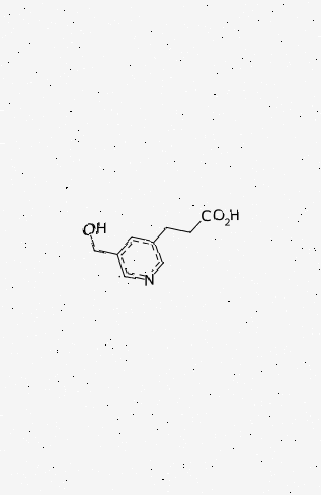 O=C(O)CCc1cn[c]c(CO)c1